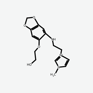 Cn1cc[n+](CCNc2cc3c(cc2OCCO)OCO3)c1